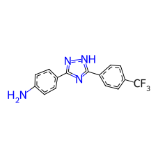 Nc1ccc(-c2n[nH]c(-c3ccc(C(F)(F)F)cc3)n2)cc1